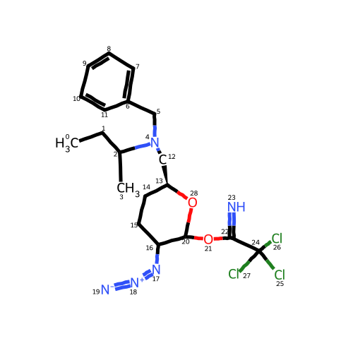 CCC(C)N(Cc1ccccc1)C[C@@H]1CCC(N=[N+]=[N-])C(OC(=N)C(Cl)(Cl)Cl)O1